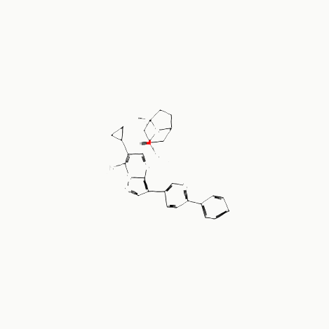 NC(=O)N1C2CC[C@H]1C[C@@H](c1nc3c(-c4ccc(-c5ccccc5)nc4)cnn3c(N)c1C1CC1)C2